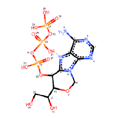 Nc1ncnc2c1nc1n2COC(C(O)CO)C1OP(=O)(O)OP(=O)(O)OP(=O)(O)O